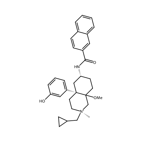 COC12CC[C@@H](NC(=O)c3ccc4ccccc4c3)C[C@]1(c1cccc(O)c1)CC[N@+](C)(CC1CC1)C2